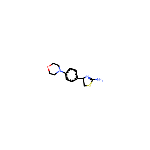 NC1=NC(c2ccc(N3CCOCC3)cc2)CS1